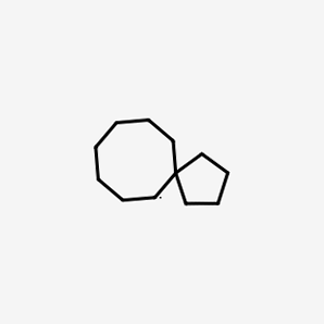 [CH]1CCCCCCC12CCCC2